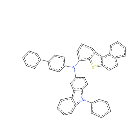 c1ccc(-c2ccc(N(c3ccc4c(c3)c3ccccc3n4-c3ccccc3)c3cccc4c3sc3ccc5ccccc5c34)cc2)cc1